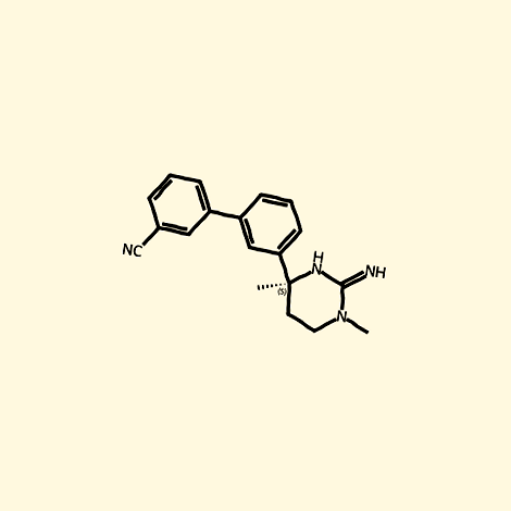 CN1CC[C@@](C)(c2cccc(-c3cccc(C#N)c3)c2)NC1=N